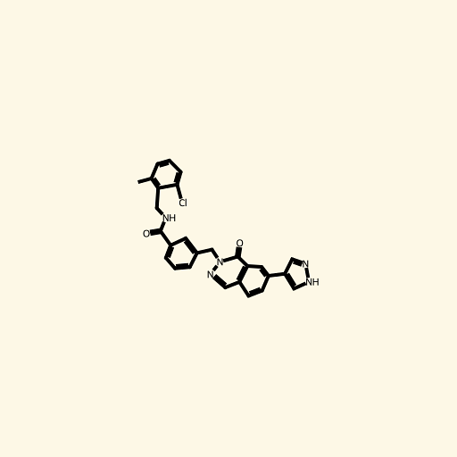 Cc1cccc(Cl)c1CNC(=O)c1cccc(Cn2ncc3ccc(-c4cn[nH]c4)cc3c2=O)c1